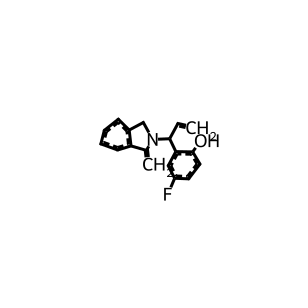 C=CC(c1cc(F)ccc1O)N1Cc2ccccc2C1=C